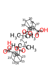 CC(C)(CCC(C)(C)OC(=O)C12CC3CC(CC(C(=O)O)(C3)C1)C2)OC(=O)C12CC3CC(CC(C(=O)O)(C3)C1)C2